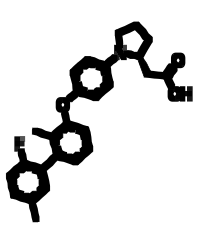 Cc1ccc(F)c(-c2cccc(Oc3ccc(N4CCC[C@H]4CC(=O)O)cc3)c2C)c1